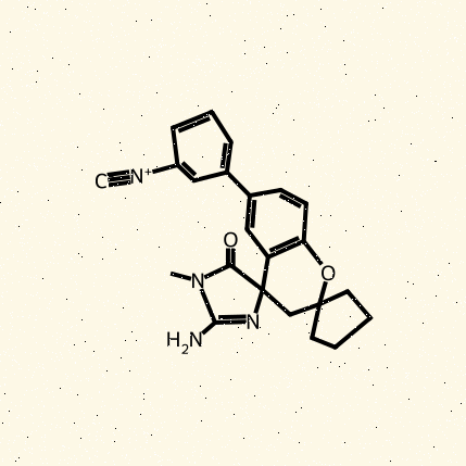 [C-]#[N+]c1cccc(-c2ccc3c(c2)C2(CC4(CCCC4)O3)N=C(N)N(C)C2=O)c1